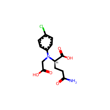 NC(=O)CC[C@H](C(=O)O)N(CC(=O)O)c1ccc(Cl)cc1